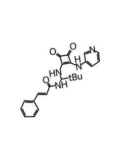 CC(C)(C)C(NC(=O)C=Cc1ccccc1)Nc1c(Nc2cccnc2)c(=O)c1=O